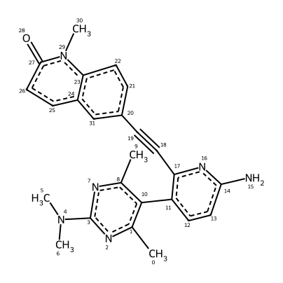 Cc1nc(N(C)C)nc(C)c1-c1ccc(N)nc1C#Cc1ccc2c(ccc(=O)n2C)c1